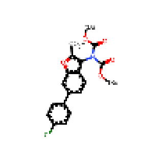 CC(C)(C)OC(=O)N(C(=O)OC(C)(C)C)c1c(C(=O)O)oc2cc(-c3ccc(Cl)cc3)ccc12